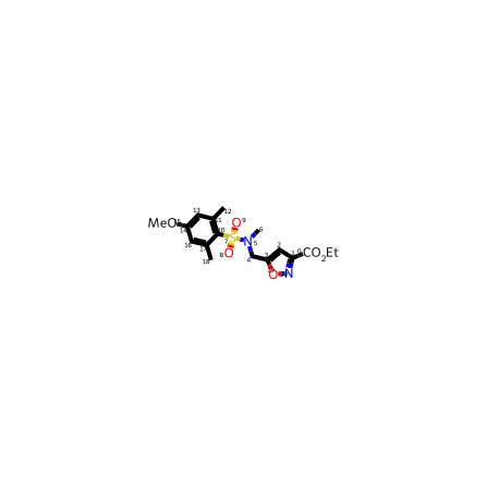 CCOC(=O)c1cc(CN(C)S(=O)(=O)c2c(C)cc(OC)cc2C)on1